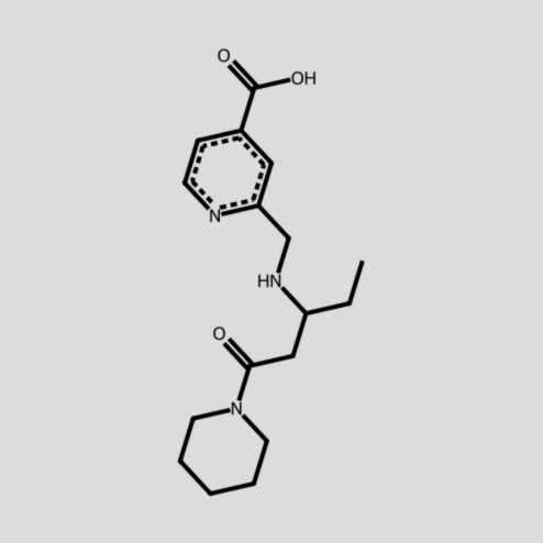 CCC(CC(=O)N1CCCCC1)NCc1cc(C(=O)O)ccn1